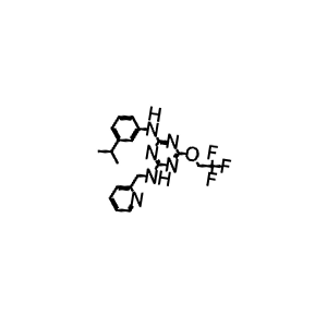 CC(C)c1cccc(Nc2nc(NCc3ccccn3)nc(OCC(F)(F)F)n2)c1